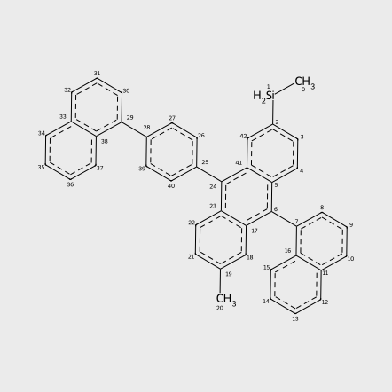 C[SiH2]c1ccc2c(-c3cccc4ccccc34)c3cc(C)ccc3c(-c3ccc(-c4cccc5ccccc45)cc3)c2c1